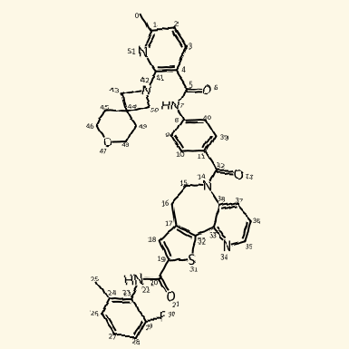 Cc1ccc(C(=O)Nc2ccc(C(=O)N3CCc4cc(C(=O)Nc5c(C)cccc5F)sc4-c4ncccc43)cc2)c(N2CC3(CCOCC3)C2)n1